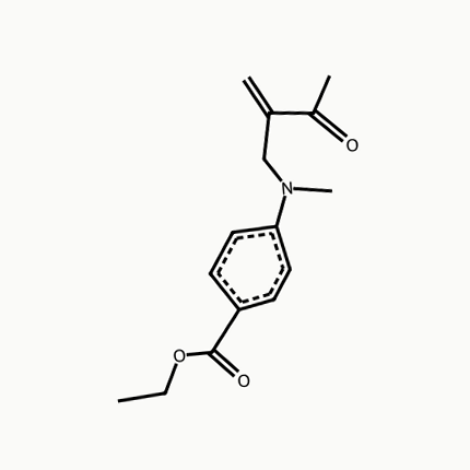 C=C(CN(C)c1ccc(C(=O)OCC)cc1)C(C)=O